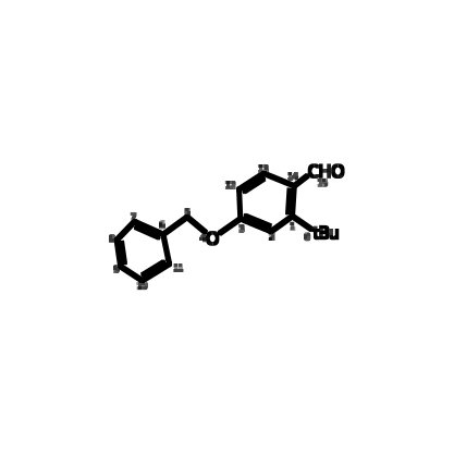 CC(C)(C)c1cc(OCc2ccccc2)ccc1C=O